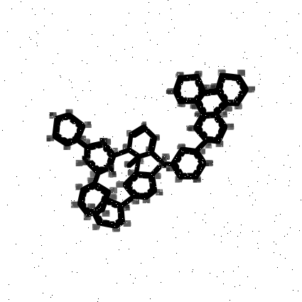 CC12C(=CC=CC1c1nc(-c3ccccc3)nc(-c3ccccc3)n1)N(c1cccc(-c3ccc4c5ccccc5c5ccccc5c4c3)c1)c1ccc(-c3ccccc3)cc12